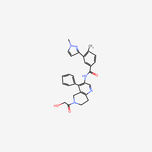 Cn1ccc(-c2cc(C(=O)Nc3cnc4c(c3-c3ccccc3)CN(C(=O)CO)CC4)ccc2C(F)(F)F)n1